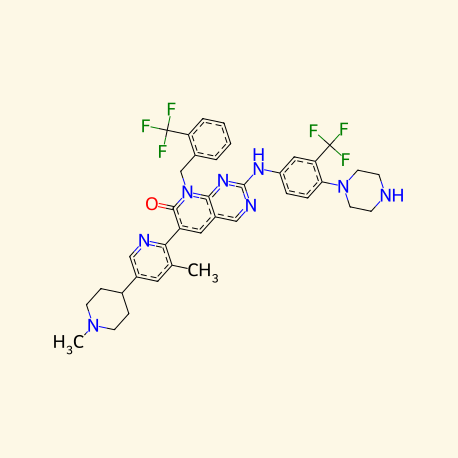 Cc1cc(C2CCN(C)CC2)cnc1-c1cc2cnc(Nc3ccc(N4CCNCC4)c(C(F)(F)F)c3)nc2n(Cc2ccccc2C(F)(F)F)c1=O